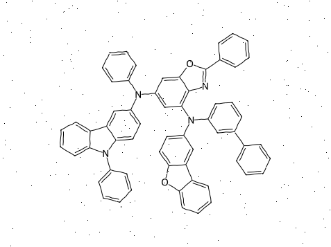 c1ccc(-c2cccc(N(c3ccc4oc5ccccc5c4c3)c3cc(N(c4ccccc4)c4ccc5c(c4)c4ccccc4n5-c4ccccc4)cc4oc(-c5ccccc5)nc34)c2)cc1